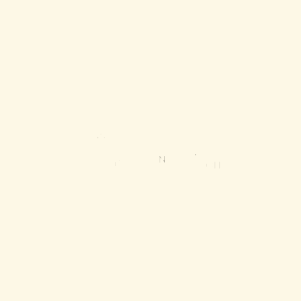 OC1(c2ccccc2)CCN(C=CC2COc3ccccc3O2)CC1